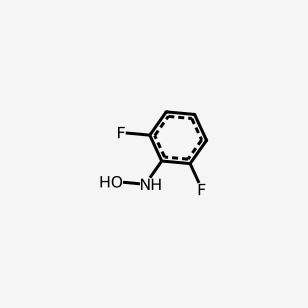 ONc1c(F)cccc1F